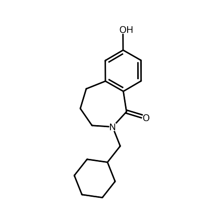 O=C1c2ccc(O)cc2CCCN1CC1CCCCC1